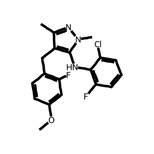 COc1ccc(Cc2c(C)nn(C)c2Nc2c(F)cccc2Cl)c(F)c1